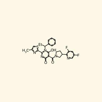 CCC(c1ccccc1)n1c(-c2nc(C)cs2)nc(=O)c(C(=O)N2CCC(c3ncc(F)cc3F)C2)c1O